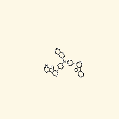 c1ccc2cc(N(c3ccc(-c4cncc5c4oc4ccccc45)cc3)c3ccc(-c4cccc5c4oc4ncccc45)cc3)ccc2c1